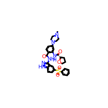 CN1CCN(c2ccc(C(=O)Nc3n[nH]c4ccc(S(=O)(=O)c5ccccc5)cc34)c(NC(=O)[C@@H]3CCCO3)c2)CC1